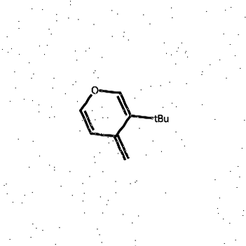 C=C1C=COC=C1C(C)(C)C